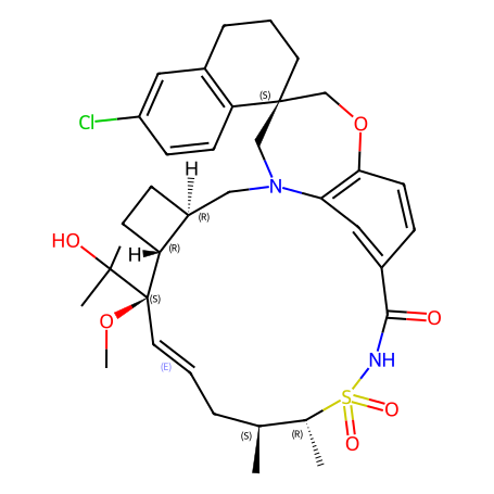 CO[C@]1(C(C)(C)O)/C=C/C[C@H](C)[C@@H](C)S(=O)(=O)NC(=O)c2ccc3c(c2)N(C[C@@H]2CC[C@H]21)C[C@@]1(CCCc2cc(Cl)ccc21)CO3